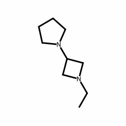 CCN1CC(N2CCCC2)C1